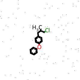 CC(CCl)Cc1ccc(Oc2ccccc2)cc1